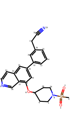 CS(=O)(=O)N1CCC(Oc2cc(-c3cccc(CC#N)c3)cc3ccncc23)CC1